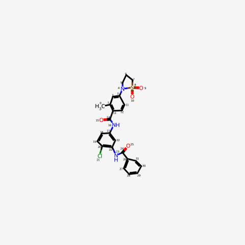 Cc1cc(N2CCCS2(=O)=O)ccc1C(=O)Nc1ccc(Cl)c(NC(=O)c2ccccc2)c1